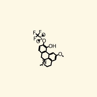 COc1cc2c3c(c1)-c1c(ccc(OS(=O)(=O)C(F)(F)F)c1O)C[C@H]3N(C)CC2